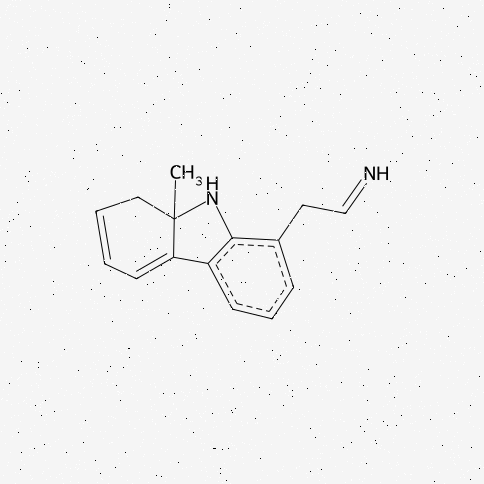 CC12CC=CC=C1c1cccc(CC=N)c1N2